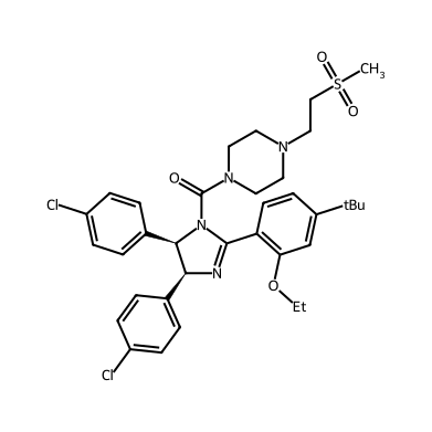 CCOc1cc(C(C)(C)C)ccc1C1=N[C@@H](c2ccc(Cl)cc2)[C@@H](c2ccc(Cl)cc2)N1C(=O)N1CCN(CCS(C)(=O)=O)CC1